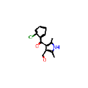 Cc1[nH]c(C)c(C(=O)c2ccccc2Cl)c1C=O